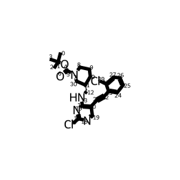 CC(C)(C)OC(=O)N1CCC[C@H](CNc2nc(Cl)ncc2C#Cc2ccccc2Cl)C1